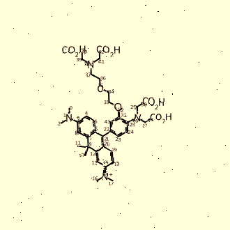 CN(C)c1ccc2c(c1)C(C)(C)C1=CC(=[N+](C)C)C=CC1=C2c1ccc(N(CC(=O)O)CC(=O)O)c(OCCOCCN(CC(=O)O)CC(=O)O)c1